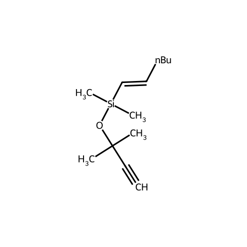 C#CC(C)(C)O[Si](C)(C)C=CCCCC